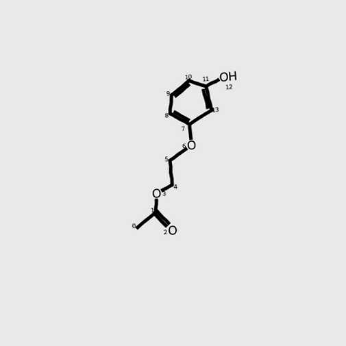 CC(=O)OCCOc1cccc(O)c1